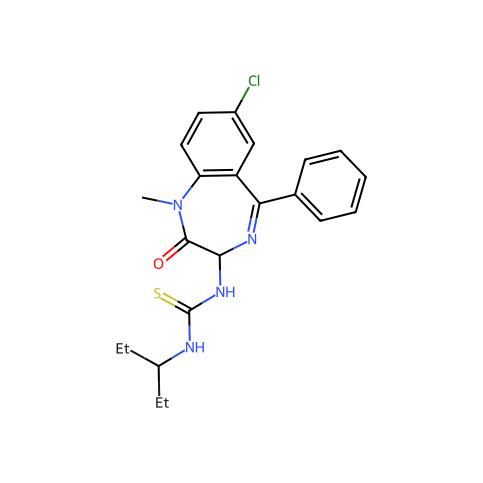 CCC(CC)NC(=S)NC1N=C(c2ccccc2)c2cc(Cl)ccc2N(C)C1=O